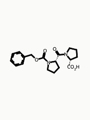 O=C(O)[C@H]1CCCN1C(=O)[C@@H]1CCCN1C(=O)OCc1ccccc1